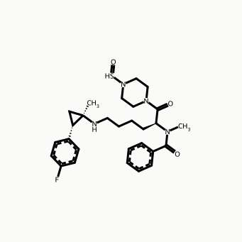 CN(C(=O)c1ccccc1)[C@@H](CCCCN[C@]1(C)C[C@H]1c1ccc(F)cc1)C(=O)N1CCN([SH]=O)CC1